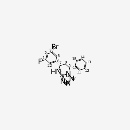 Fc1cc(Br)cc([C@@H]2C[C@H](c3ccccc3)n3nnnc3N2)c1